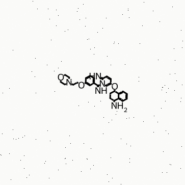 N=C(c1cccc(OCCN2CCOCC2)c1)n1cc(OC2CCC(N)c3ccccc32)ccc1=N